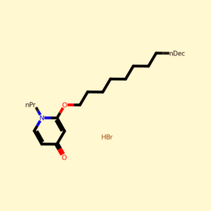 Br.CCCCCCCCCCCCCCCCCCOc1cc(=O)ccn1CCC